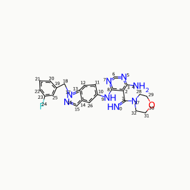 N=C(c1c(N)ncnc1Nc1ccc2c(cnn2Cc2cccc(F)c2)c1)N1CCOCC1